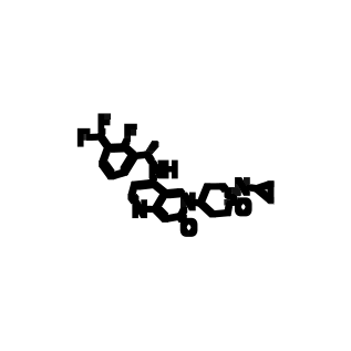 C[C@@H](Nc1ccnc2cc(=O)n(C3CCS(=O)(=NC4CC4)CC3)cc12)c1cccc(C(F)F)c1F